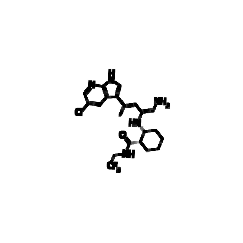 C/C(=C\C(=C/N)N[C@@H]1CCCC[C@@H]1C(=O)NCC(F)(F)F)c1c[nH]c2ncc(Cl)cc12